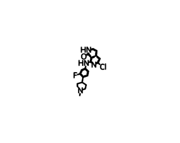 CN1CCC(c2ccc(Nc3nc(Cl)cc4cc[nH]c(=O)c34)cc2F)CC1